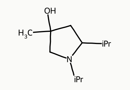 CC(C)C1CC(C)(O)CN1C(C)C